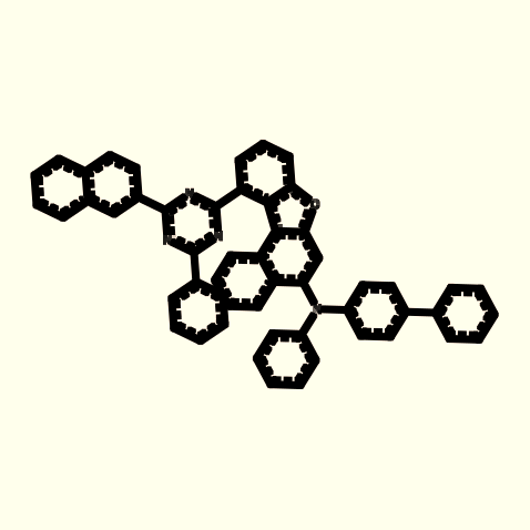 c1ccc(-c2ccc(N(c3ccccc3)c3cc4oc5cccc(-c6nc(-c7ccccc7)nc(-c7ccc8ccccc8c7)n6)c5c4c4ccccc34)cc2)cc1